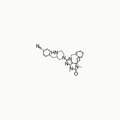 Cn1c(=O)c2c(nc(N3CCNC(Cc4ccc(C#N)cc4)C3)n2Cc2ccccc2)n(C)c1=O